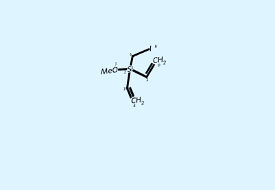 C=C[Si](C=C)(CI)OC